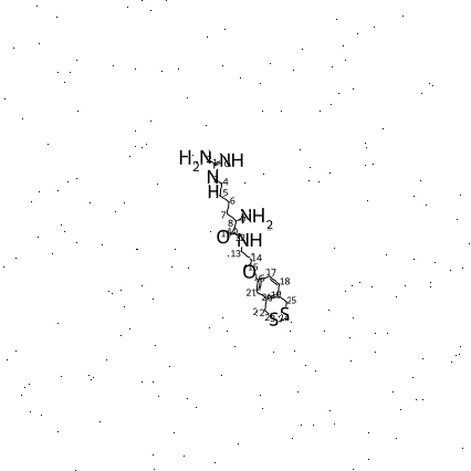 N=C(N)NCCCC[C@@H](N)C(=O)NCCOc1ccc2c(c1)CSSC2